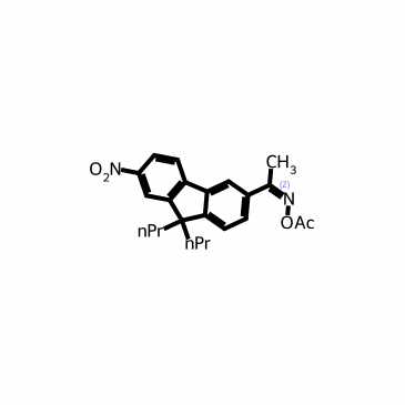 CCCC1(CCC)c2ccc(/C(C)=N\OC(C)=O)cc2-c2ccc([N+](=O)[O-])cc21